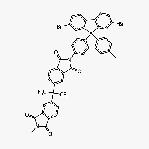 Cc1ccc(C2(c3ccc(N4C(=O)c5ccc(C(c6ccc7c(c6)C(=O)N(C)C7=O)(C(F)(F)F)C(F)(F)F)cc5C4=O)cc3)c3cc(Br)ccc3-c3ccc(Br)cc32)cc1